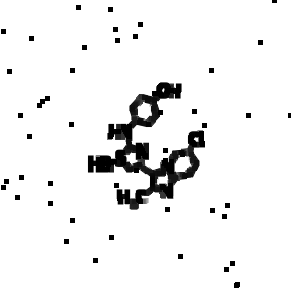 Br.Cc1nc2ccc(Cl)cn2c1-c1csc(Nc2ccc(O)cc2)n1